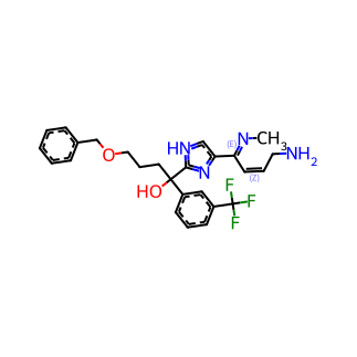 C/N=C(\C=C/CN)c1c[nH]c(C(O)(CCCOCc2ccccc2)c2cccc(C(F)(F)F)c2)n1